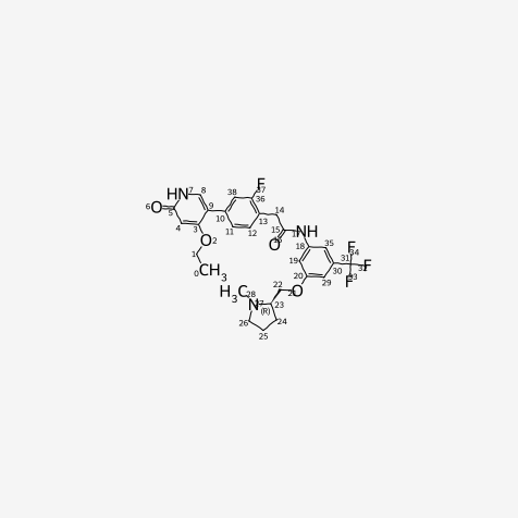 CCOc1cc(=O)[nH]cc1-c1ccc(CC(=O)Nc2cc(OC[C@H]3CCCN3C)cc(C(F)(F)F)c2)c(F)c1